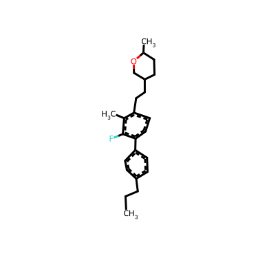 CCCc1ccc(-c2ccc(CCC3CCC(C)OC3)c(C)c2F)cc1